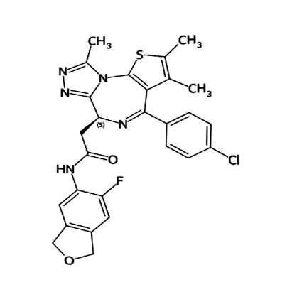 Cc1sc2c(c1C)C(c1ccc(Cl)cc1)=N[C@@H](CC(=O)Nc1cc3c(cc1F)COC3)c1nnc(C)n1-2